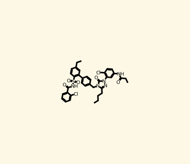 CCCCc1nn(-c2cc(NC(=O)CC)ccc2Cl)c(=O)n1Cc1ccc(-c2cc(CC)ccc2S(=O)(=O)NC(=O)c2ccccc2Cl)cc1